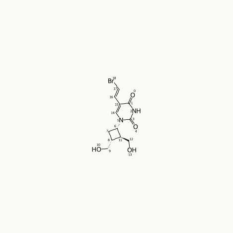 O=c1[nH]c(=O)n([C@H]2C[C@@H](CO)[C@@H]2CO)cc1/C=C/Br